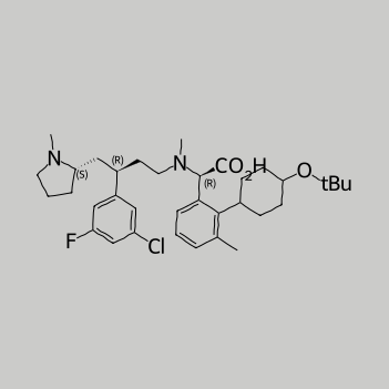 Cc1cccc([C@H](C(=O)O)N(C)CC[C@H](C[C@@H]2CCCN2C)c2cc(F)cc(Cl)c2)c1C1CCC(OC(C)(C)C)CC1